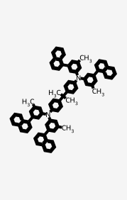 Cc1cc(-c2cccc3ccccc23)cc(N(c2ccc(C(C)(C)c3ccc(N(c4cc(C)cc(-c5cccc6ccccc56)c4)c4cc(C)cc(-c5cccc6ccccc56)c4)cc3)cc2)c2cc(C)cc(-c3cccc4ccccc34)c2)c1